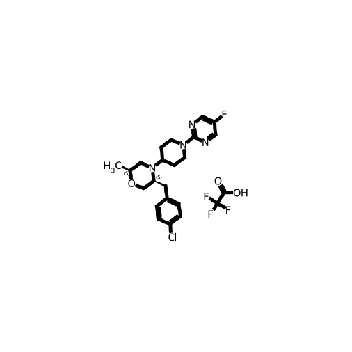 C[C@H]1CN(C2CCN(c3ncc(F)cn3)CC2)[C@@H](Cc2ccc(Cl)cc2)CO1.O=C(O)C(F)(F)F